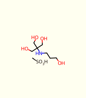 CS(=O)(=O)O.OCCCNC(CO)(CO)CO